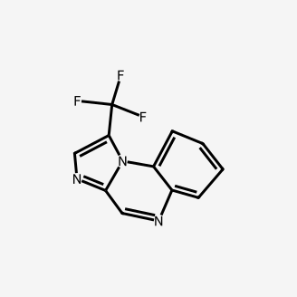 FC(F)(F)c1cnc2cnc3ccccc3n12